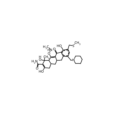 CNOC1=C2C(=O)c3c(O)c(CSC)cc(CN4CCCCC4)c3CC2CC2CC(O)=C(C(N)=O)C(C)(O)C12